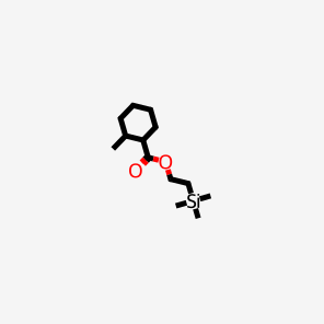 CC1CCCCC1C(=O)OCC[Si](C)(C)C